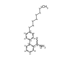 CCCCCCCCc1ccc(-c2ccccc2C(N)=S)cc1